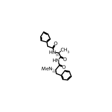 CN[C@@H](Cc1ccccc1)C(=O)NC(=O)[C@H](C)NC(=O)Cc1ccccc1